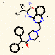 CC(C)[C@H](Nc1nc(CN2CCN(C(=O)C(c3ccccc3)c3ccccc3)CC2)nc2ccccc12)[C@H](N)O